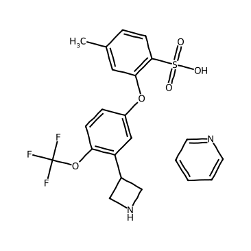 Cc1ccc(S(=O)(=O)O)c(Oc2ccc(OC(F)(F)F)c(C3CNC3)c2)c1.c1ccncc1